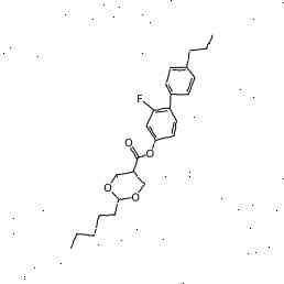 CCCCCC1OCC(C(=O)Oc2ccc(-c3ccc(CCC)cc3)c(F)c2)CO1